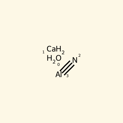 O.[CaH2].[N]#[Al]